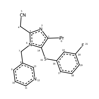 CC(C)c1nc(CC#N)n(Cc2cccnc2)c1Sc1cccc(F)c1